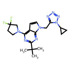 CC(C)(C)c1nc(N2CCC(F)(F)C2)c2ccn(Cc3nnnn3C3CC3)c2n1